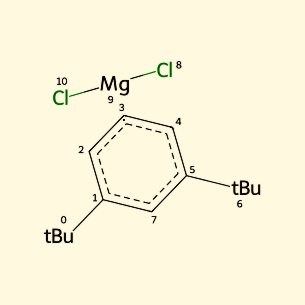 CC(C)(C)c1c[c]cc(C(C)(C)C)c1.[Cl][Mg][Cl]